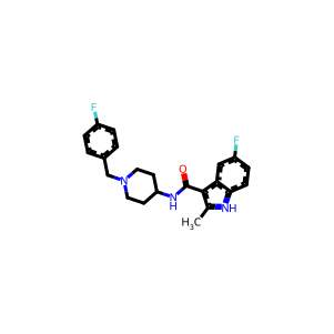 Cc1[nH]c2ccc(F)cc2c1C(=O)NC1CCN(Cc2ccc(F)cc2)CC1